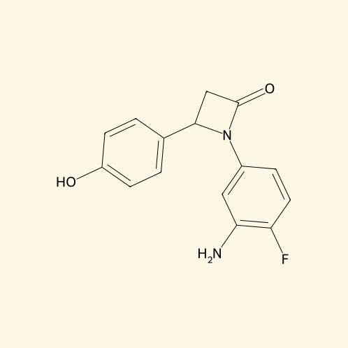 Nc1cc(N2C(=O)CC2c2ccc(O)cc2)ccc1F